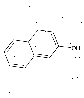 OC1=CCC2C=CC=CC2=C1